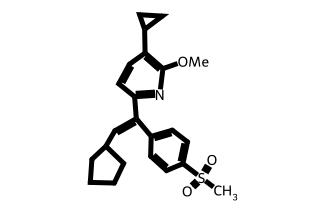 COc1nc(C(=CC2CCCC2)c2ccc(S(C)(=O)=O)cc2)ccc1C1CC1